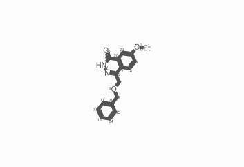 CCOc1ccc2c(COCc3ccccc3)n[nH]c(=O)c2c1